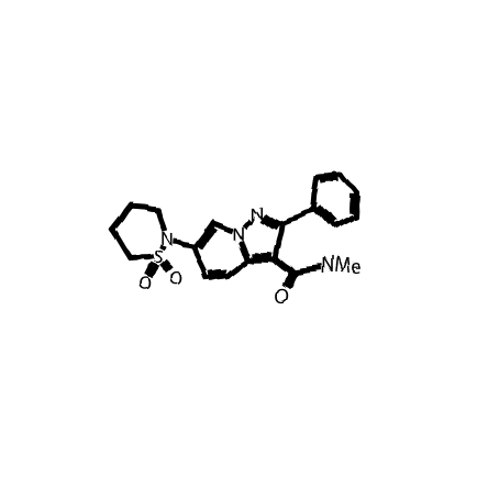 CNC(=O)c1c(-c2ccccc2)nn2cc(N3CCCCS3(=O)=O)ccc12